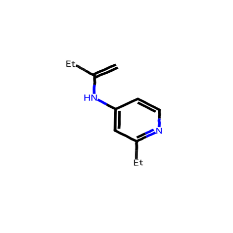 C=C(CC)Nc1ccnc(CC)c1